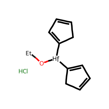 CC[O][Hf]([C]1=CC=CC1)[C]1=CC=CC1.Cl